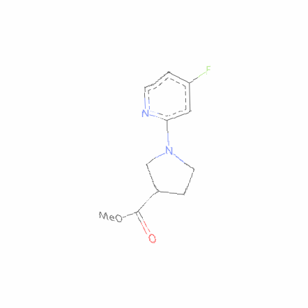 COC(=O)C1CCN(c2cc(F)ccn2)C1